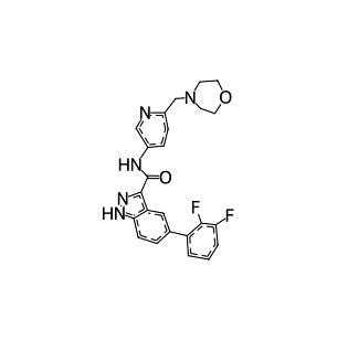 O=C(Nc1ccc(CN2CCOCC2)nc1)c1n[nH]c2ccc(-c3cccc(F)c3F)cc12